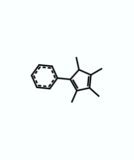 CC1=C(C)C(C)C(c2ccccc2)=C1C